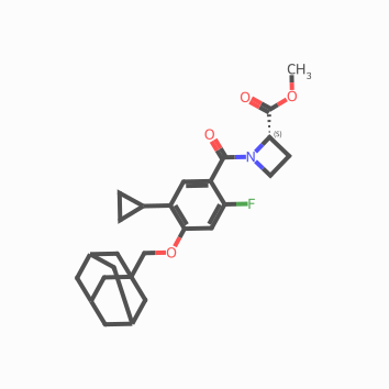 COC(=O)[C@@H]1CCN1C(=O)c1cc(C2CC2)c(OCC23CC4CC(CC(C4)C2)C3)cc1F